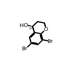 O[C@H]1CCOc2c(Br)cc(Br)cc21